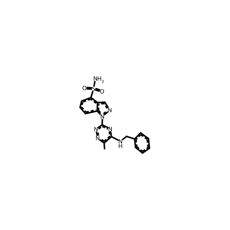 Cc1nnc(-n2ncc3c(S(N)(=O)=O)cccc32)nc1NCc1ccccc1